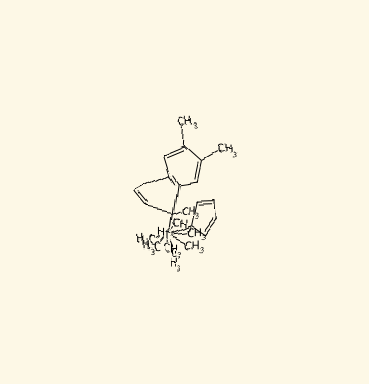 Cc1cc2c(cc1C)[C](C)([Hf]([CH3])([CH3])([CH3])([CH3])([CH3])([CH3])([CH3])[CH]1C=CC=C1)C=C2